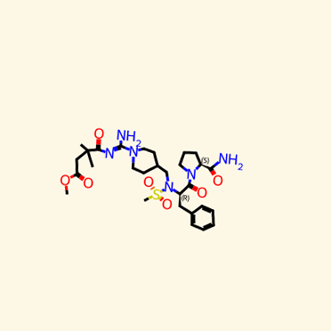 COC(=O)CC(C)(C)C(=O)N=C(N)N1CCC(CN([C@H](Cc2ccccc2)C(=O)N2CCC[C@H]2C(N)=O)S(C)(=O)=O)CC1